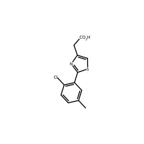 Cc1ccc(Cl)c(-c2nc(CC(=O)O)cs2)c1